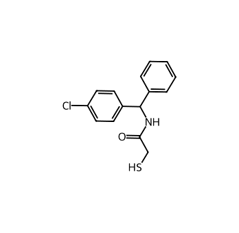 O=C(CS)NC(c1ccccc1)c1ccc(Cl)cc1